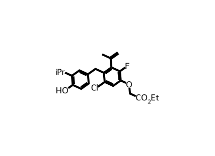 C=C(C)c1c(F)c(OCC(=O)OCC)cc(Cl)c1Cc1ccc(O)c(C(C)C)c1